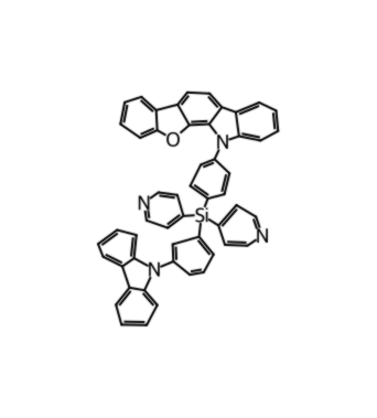 c1cc(-n2c3ccccc3c3ccccc32)cc([Si](c2ccncc2)(c2ccncc2)c2ccc(-n3c4ccccc4c4ccc5c6ccccc6oc5c43)cc2)c1